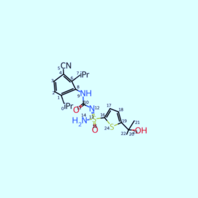 CC(C)c1ccc(C#N)c(C(C)C)c1NC(=O)N=S(N)(=O)c1ccc(C(C)(C)O)s1